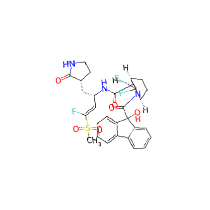 CS(=O)(=O)/C(F)=C/[C@H](C[C@H]1CCNC1=O)NC(=O)[C@H]1[C@H]2CC[C@H](CC2(F)F)N1C(=O)C1(O)c2ccccc2-c2ccccc21